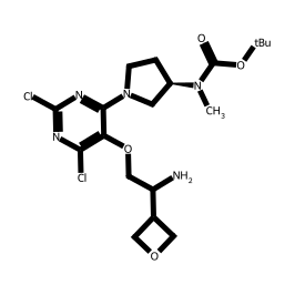 CN(C(=O)OC(C)(C)C)[C@@H]1CCN(c2nc(Cl)nc(Cl)c2OCC(N)C2COC2)C1